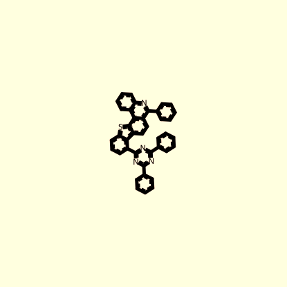 c1ccc(-c2nc(-c3ccccc3)nc(-c3cccc4sc5c(ccc6c(-c7ccccc7)nc7ccccc7c65)c34)n2)cc1